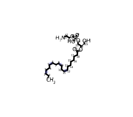 CC/C=C\C/C=C\C/C=C\C/C=C\CCCCCCC(=O)O[C@H](CO)COP(=O)(O)OCCN